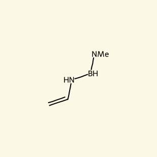 C=CNBNC